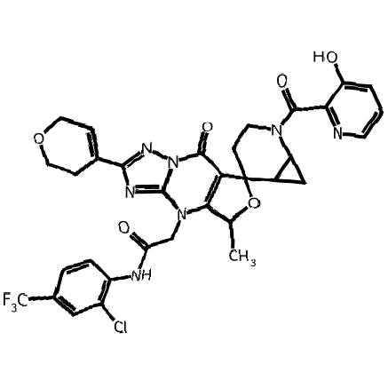 CC1OC2(CCN(C(=O)c3ncccc3O)C3CC32)c2c1n(CC(=O)Nc1ccc(C(F)(F)F)cc1Cl)c1nc(C3=CCOCC3)nn1c2=O